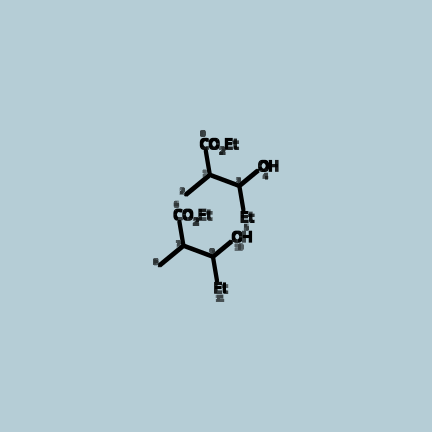 CCOC(=O)C(C)C(O)CC.CCOC(=O)C(C)C(O)CC